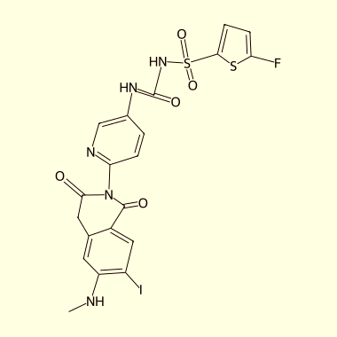 CNc1cc2c(cc1I)C(=O)N(c1ccc(NC(=O)NS(=O)(=O)c3ccc(F)s3)cn1)C(=O)C2